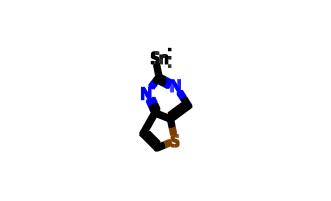 [Sn][c]1ncc2sccc2n1